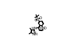 Cc1[nH]nc(Nc2ccnc3ccc(S(=O)(=O)C(C)(C)C)cc23)c1C.O